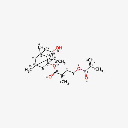 C=C(C)C(=O)OCCC(=C)C(=O)OC12CC3(C)CC(C)(CC(O)(C3)C1C)C2